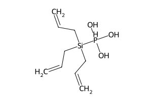 C=CC[Si](CC=C)(CC=C)[PH](O)(O)O